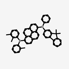 Cc1ccccc1B(c1cccc(C)c1C)c1ccc2ccc3c(N(c4ccccc4)c4ccc5c(c4)C(C)(C)c4ccccc4-5)ccc4ccc1c2c43